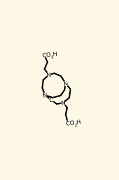 O=C(O)CCN1CCN2CCCN(CC1)CCN(CCC(=O)O)CC2